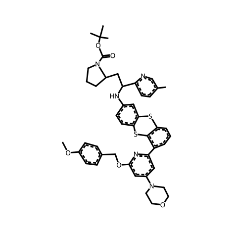 COc1ccc(COc2cc(N3CCOCC3)cc(-c3cccc4c3Sc3ccc(NC(CC5CCCN5C(=O)OC(C)(C)C)c5ccc(C)cn5)cc3S4)n2)cc1